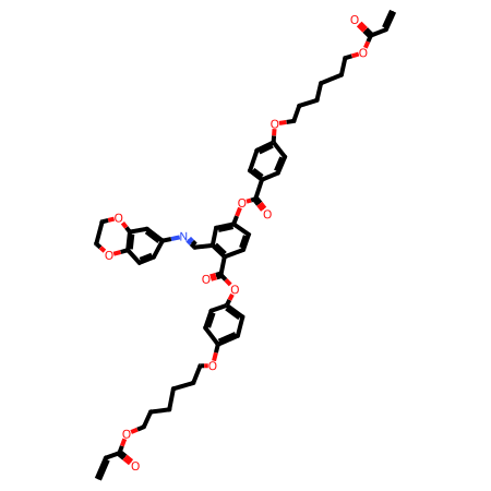 C=CC(=O)OCCCCCCOc1ccc(OC(=O)c2ccc(OC(=O)c3ccc(OCCCCCCOC(=O)C=C)cc3)cc2/C=N/c2ccc3c(c2)OCCO3)cc1